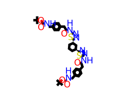 CC(C)(C)OC(=O)NCc1ccc(CC(=O)Nc2nnc([C@H]3CCC[C@H](c4nnc(NC(=O)Cc5ccc(CNC(=O)OC(C)(C)C)cc5)s4)C3)s2)cc1